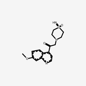 COc1ccc2c(C(=O)CN3CCS(=N)(=O)CC3)ccnc2c1